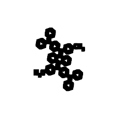 Cc1ccc(N(c2ccc(N(c3ccccc3)c3ccccc3)cc2)c2c3ccccc3c(N(c3ccc(C)cc3)c3ccc(N(c4ccccc4)c4ccccc4)cc3)c3ccccc23)cc1